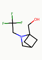 OCC12CC(CN1CC(F)(F)F)C2